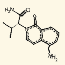 CC(C)[C@H](C(N)=O)n1ccc2c(N)cccc2c1=O